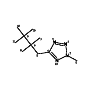 Cn1nnc(CC(C)(C)C(C)(C)C)n1